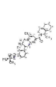 C=C(/C=C1/N=C(C(=O)N2CCC3=C(CCCC3)C2C)C=C(CC)N1C)c1cccc(/C=C/C(C)(C)O)c1F